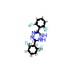 Fc1cccc(F)c1C1=NN=C(c2c(F)cccc2F)NN1